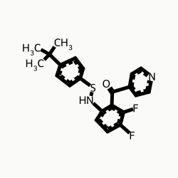 CC(C)(C)c1ccc(SNc2ccc(F)c(F)c2C(=O)c2ccncc2)cc1